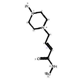 CC(C)N1CCN(C/C=C/C(=O)NC(C)(C)C)CC1